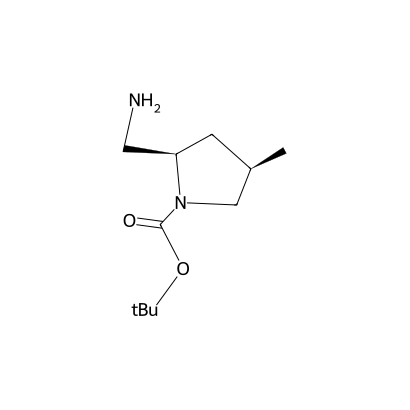 C[C@@H]1C[C@H](CN)N(C(=O)OC(C)(C)C)C1